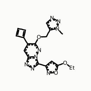 CCOc1cc(-c2nnc3cc(C4=CC=C4)c(OCc4cnnn4C)nn23)no1